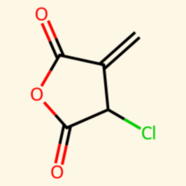 C=C1C(=O)OC(=O)C1Cl